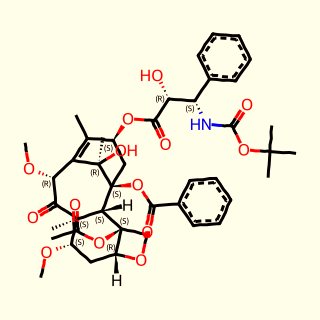 CO[C@H]1C(=O)[C@]2(C)[C@@H](OC)C[C@H]3OC[C@@]3(OC(C)=O)[C@H]2[C@@]2(OC(=O)c3ccccc3)C[C@H](OC(=O)[C@H](O)[C@@H](NC(=O)OC(C)(C)C)c3ccccc3)C(C)=C1[C@@]2(C)O